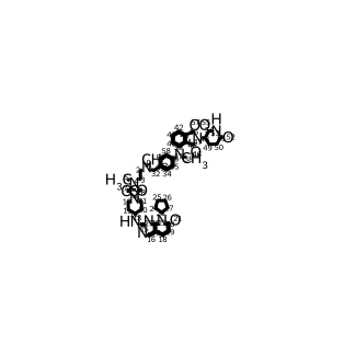 CN(CCN(C)S(=O)(=O)N1CCC(Nc2ncc3ccc(=O)n(C4CCCC4)c3n2)CC1)Cc1ccc(N(C)c2cccc3c2C(=O)N(C2CCC(=O)NC2=O)C3=O)cc1